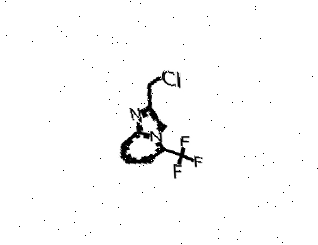 FC(F)(F)c1cccc2nc(CCl)cn12